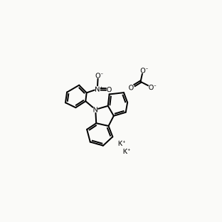 O=C([O-])[O-].O=[N+]([O-])c1ccccc1-n1c2ccccc2c2ccccc21.[K+].[K+]